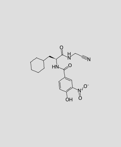 N#CCNC(=O)[C@H](CC1CCCCC1)NC(=O)c1ccc(O)c([N+](=O)[O-])c1